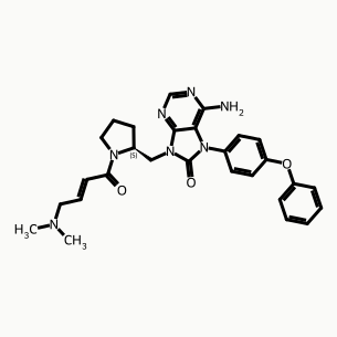 CN(C)CC=CC(=O)N1CCC[C@H]1Cn1c(=O)n(-c2ccc(Oc3ccccc3)cc2)c2c(N)ncnc21